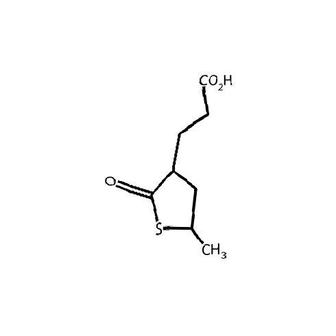 CC1CC(CCC(=O)O)C(=O)S1